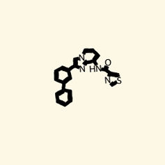 O=C(Nc1cccn2cc(-c3cccc(-c4ccccc4)c3)nc12)c1cscn1